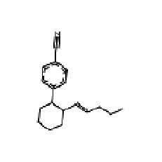 CCC/C=C/C1CCCCC1c1ccc(C#N)cc1